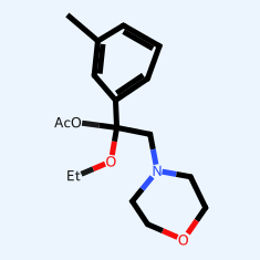 CCOC(CN1CCOCC1)(OC(C)=O)c1cccc(C)c1